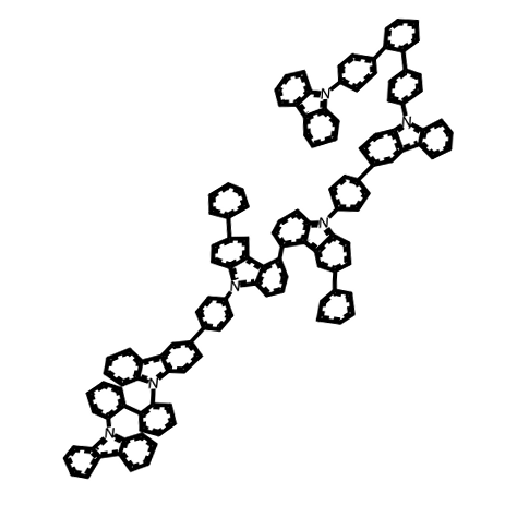 c1ccc(-c2ccc3c(c2)c2c(-c4cccc5c4c4cc(-c6ccccc6)ccc4n5-c4ccc(-c5ccc6c(c5)c5ccccc5n6-c5ccccc5-c5ccccc5-n5c6ccccc6c6ccccc65)cc4)cccc2n3-c2ccc(-c3ccc4c(c3)c3ccccc3n4-c3ccc(-c4ccccc4-c4ccc(-n5c6ccccc6c6ccccc65)cc4)cc3)cc2)cc1